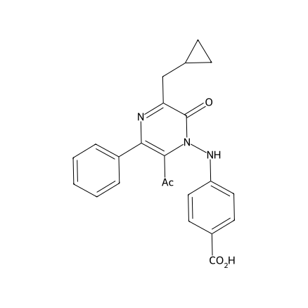 CC(=O)c1c(-c2ccccc2)nc(CC2CC2)c(=O)n1Nc1ccc(C(=O)O)cc1